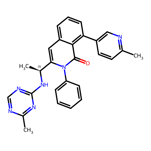 Cc1ccc(-c2cccc3cc([C@H](C)Nc4ncnc(C)n4)n(-c4ccccc4)c(=O)c23)cn1